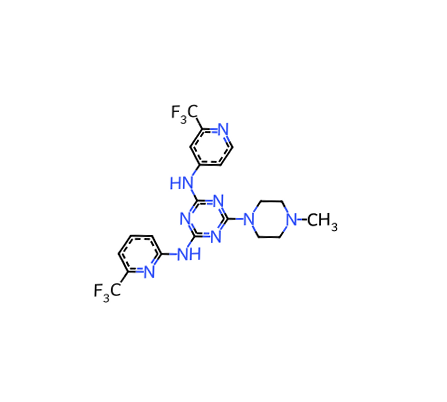 CN1CCN(c2nc(Nc3ccnc(C(F)(F)F)c3)nc(Nc3cccc(C(F)(F)F)n3)n2)CC1